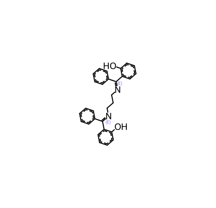 Oc1ccccc1/C(=N/CCC/N=C(\c1ccccc1)c1ccccc1O)c1ccccc1